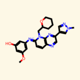 COc1cc(O)cc(/N=c2\ccc3ncc(-c4cnn(C)c4)nc3n2CC2CCCCO2)c1